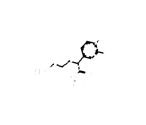 CCCCC(C(=O)OC)c1ccc(Cl)c(Cl)c1